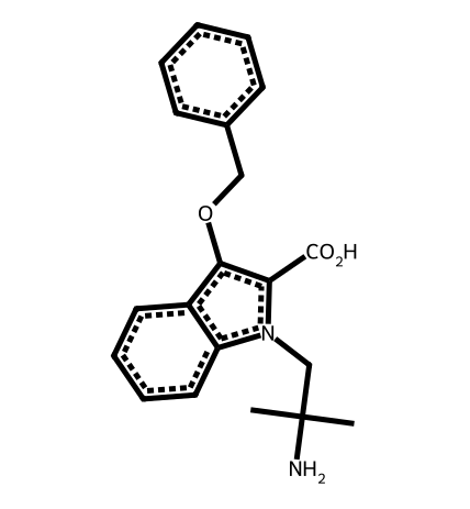 CC(C)(N)Cn1c(C(=O)O)c(OCc2ccccc2)c2ccccc21